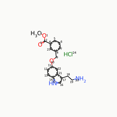 COC(=O)c1cccc(COc2ccc3[nH]cc(CCN)c3c2)c1.Cl